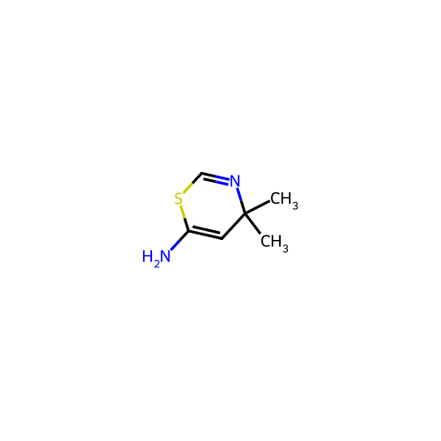 CC1(C)C=C(N)SC=N1